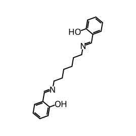 Oc1ccccc1C=NCCCCCCN=Cc1ccccc1O